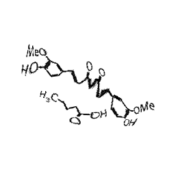 CCCCC(=O)O.COc1cc(/C=C/C(=O)CC(=O)/C=C/c2ccc(O)c(OC)c2)ccc1O